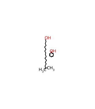 CC(C)CCCCCCCCCCCCCCCO.Oc1ccccc1